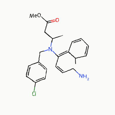 COC(=O)CC(C)N(Cc1ccc(Cl)cc1)C(/C=C\CN)=C1\C=CC=CC1C